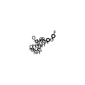 COC[C@H]1C[C@@H](C(=O)N[C@H](C)c2cc(C(=N)NOC(C)=O)cs2)N(C(=O)CNC(=O)c2ccc(Oc3ccc(F)cc3)cc2)C1